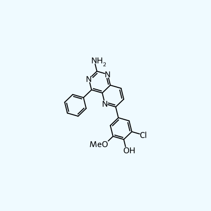 COc1cc(-c2ccc3nc(N)nc(-c4ccccc4)c3n2)cc(Cl)c1O